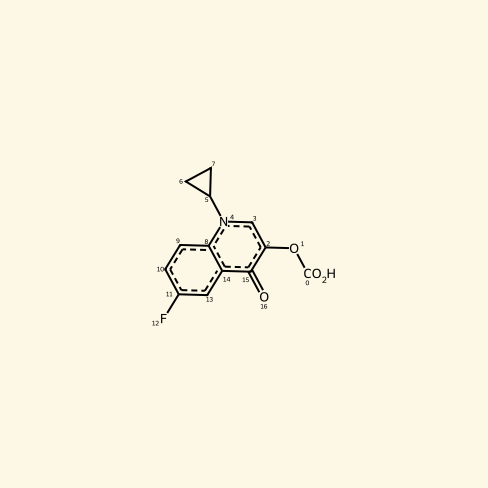 O=C(O)Oc1cn(C2CC2)c2ccc(F)cc2c1=O